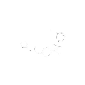 CC(C)N(C1CCN(CC(=O)NC2CCOC2)CC1)S(=O)(=O)c1cccc(C(F)(F)F)c1